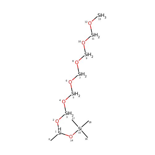 C[SiH](O[SiH2]O[SiH2]O[SiH2]O[SiH2]O[SiH2]O[SiH3])O[Si](C)(C)C